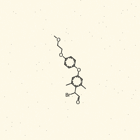 COCCOc1ccc(Oc2cc(C)c(C(Br)C=O)c(C)c2)cc1